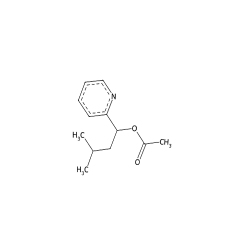 CC(=O)OC(CC(C)C)c1ccccn1